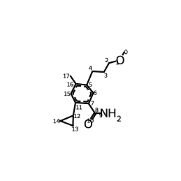 COCCCc1cc(C(N)=O)c(C2CC2)cc1C